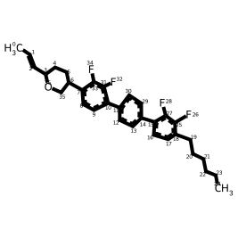 C/C=C/C1CCC(c2ccc(-c3ccc(-c4ccc(CCCCCC)c(F)c4F)cc3)c(F)c2F)CO1